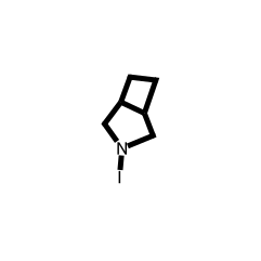 IN1CC2CCC2C1